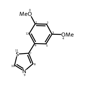 COc1cc(OC)cc(-c2cn[c]s2)c1